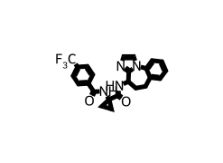 O=C(NC1(C(=O)NC2CCc3ccccc3-n3ccnc32)CC1)c1ccc(C(F)(F)F)cc1